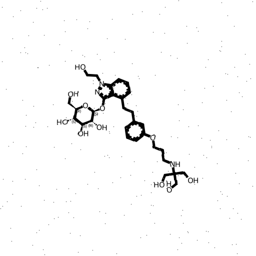 OCCn1nc(O[C@@H]2O[C@H](CO)[C@@H](O)[C@H](O)[C@H]2O)c2c(CCc3cccc(OCCCNC(CO)(CO)CO)c3)cccc21